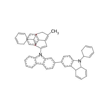 C\C1=C(c2ccccc2)/C=C(n2c3ccccc3c3ccc(-c4ccc5c(c4)C4C=CC=CC4N5C4C=CC=CC4)cc32)\C=C(\C2C=CC=CC2)CC1